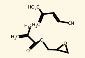 C=C(C)C(=O)OCC1CO1.C=C(C=CC#N)C(=O)O